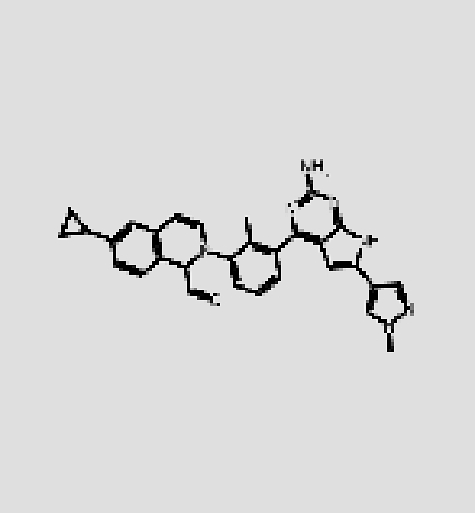 Cc1c(-c2nc(N)nc3[nH]c(-c4cnn(C)c4)cc23)cccc1N1C=Cc2cc(C3CC3)ccc2C1C=O